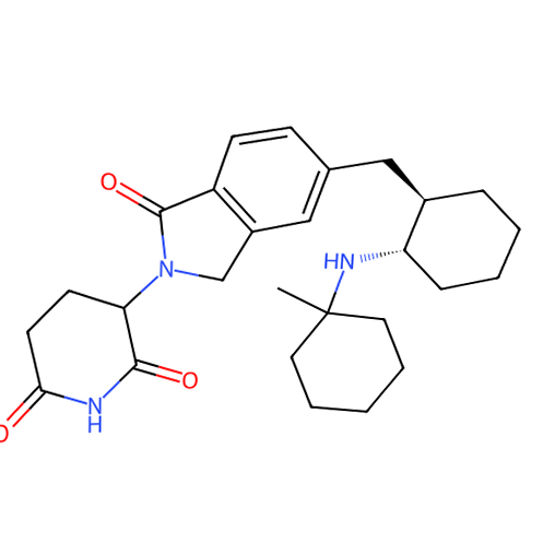 CC1(N[C@H]2CCCC[C@@H]2Cc2ccc3c(c2)CN(C2CCC(=O)NC2=O)C3=O)CCCCC1